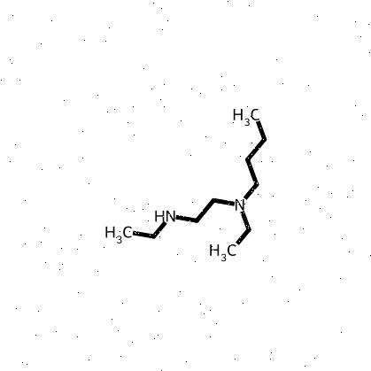 CCCCN(CC)CCNCC